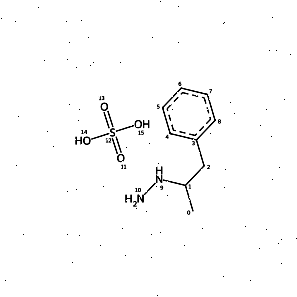 CC(Cc1ccccc1)NN.O=S(=O)(O)O